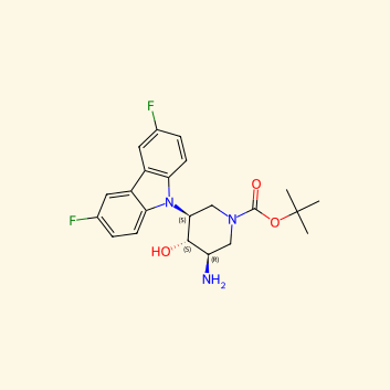 CC(C)(C)OC(=O)N1C[C@@H](N)[C@H](O)[C@@H](n2c3ccc(F)cc3c3cc(F)ccc32)C1